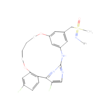 CC(C)N=S(C)(=O)Cc1cc2cc(c1)OCCCCOc1cc(F)ccc1-c1nc(ncc1F)N2